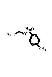 CCCC(C)COS(=O)(=O)c1ccc(C)cc1